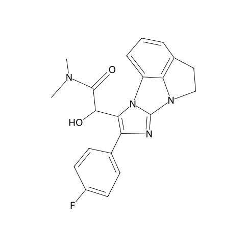 CN(C)C(=O)C(O)c1c(-c2ccc(F)cc2)nc2n3c4c(cccc4n12)CC3